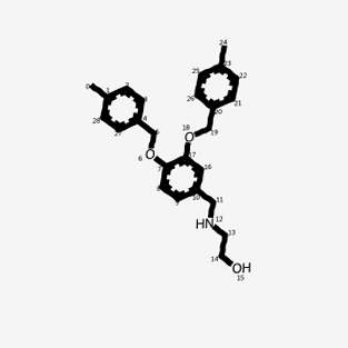 Cc1ccc(COc2ccc(CNCCO)cc2OCc2ccc(C)cc2)cc1